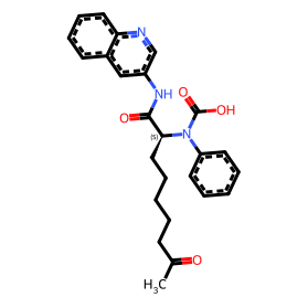 CC(=O)CCCCC[C@@H](C(=O)Nc1cnc2ccccc2c1)N(C(=O)O)c1ccccc1